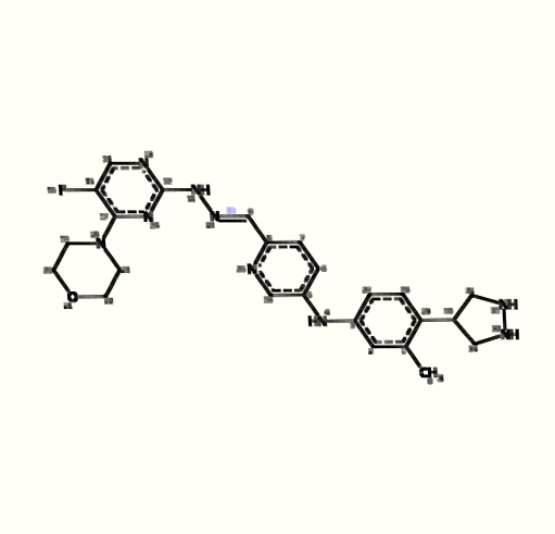 Cc1cc(Nc2ccc(/C=N/Nc3ncc(F)c(N4CCOCC4)n3)nc2)ccc1C1CNNC1